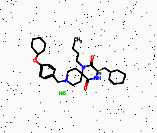 CCCCN1C(=O)[C@H](CC2CCCCC2)NC(=O)C12CCN(Cc1ccc(OC3CCCCC3)cc1)CC2.Cl